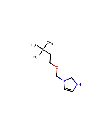 C[Si](C)(C)CCOCN1C=CNC1